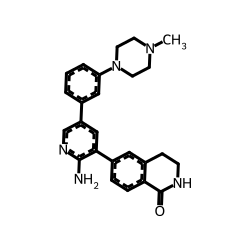 CN1CCN(c2cccc(-c3cnc(N)c(-c4ccc5c(c4)CCNC5=O)c3)c2)CC1